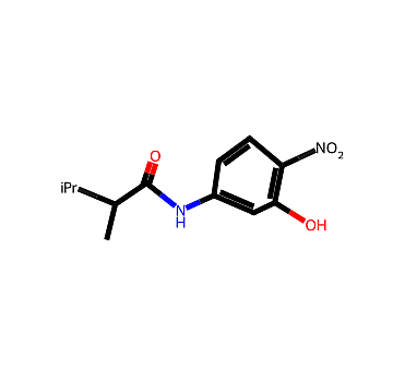 CC(C)C(C)C(=O)Nc1ccc([N+](=O)[O-])c(O)c1